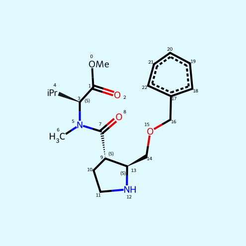 COC(=O)[C@H](C(C)C)N(C)C(=O)[C@H]1CCN[C@@H]1COCc1ccccc1